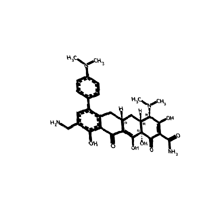 CN(C)c1ccc(-c2cc(CN)c(O)c3c2C[C@@H]2C[C@@H]4[C@@H](N(C)C)C(O)=C(C(N)=O)C(=O)[C@@]4(O)C(O)=C2C3=O)cc1